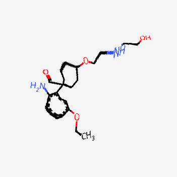 CCOc1ccc(N)c(C2(C=O)CCC(OCCNCCO)CC2)c1